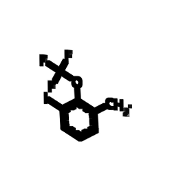 [CH2]c1cccc(I)c1OC(F)(F)F